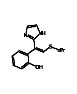 CCCSC=C(c1ncc[nH]1)c1ccccc1O